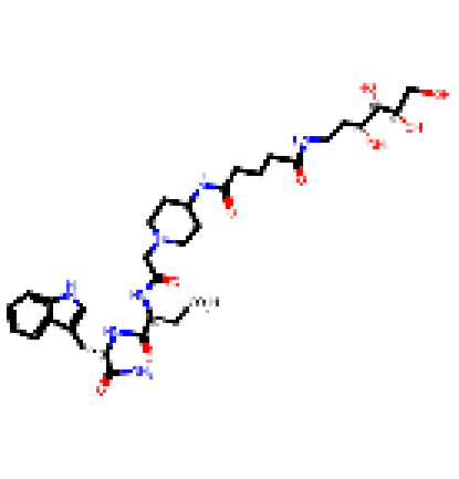 NC(=O)[C@H](Cc1c[nH]c2ccccc12)NC(=O)[C@H](CC(=O)O)NC(=O)CN1CCC(NC(=O)CCCC(=O)NCC[C@@H](O)[C@H](O)[C@H](O)CO)CC1